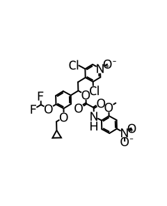 COc1cc([N+](=O)[O-])ccc1NC(=O)C(=O)OC(Cc1c(Cl)c[n+]([O-])cc1Cl)c1ccc(OC(F)F)c(OCC2CC2)c1